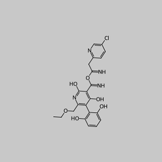 CCOCc1nc(O)c(C(=N)OC(=N)Cc2ccc(Cl)cn2)c(O)c1-c1c(O)cccc1O